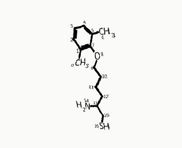 Cc1cccc(C)c1OCCCCC(N)CS